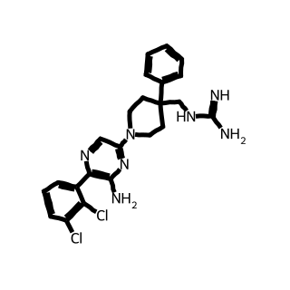 N=C(N)NCC1(c2ccccc2)CCN(c2cnc(-c3cccc(Cl)c3Cl)c(N)n2)CC1